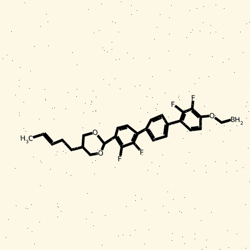 BCOc1ccc(-c2ccc(-c3ccc(C4OCC(CC/C=C/C)CO4)c(F)c3F)cc2)c(F)c1F